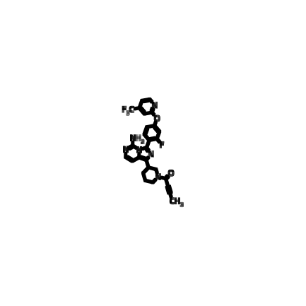 CC#CC(=O)N1CCCC(c2nc(-c3ccc(Oc4cc(C(F)(F)F)ccn4)cc3F)n3c(N)nccc23)C1